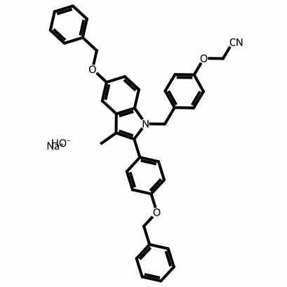 Cc1c(-c2ccc(OCc3ccccc3)cc2)n(Cc2ccc(OCC#N)cc2)c2ccc(OCc3ccccc3)cc12.[Na+].[OH-]